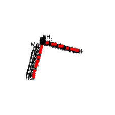 CNc1ccc(N)cc1C#N.Cl.Cl.Cl.Cl.Cl.Cl.Cl.Cl.Cl.Cl.Cl.Cl.Cl.Cl.Cl.Cl.Cl.Cl.Cl.Cl.Cl.Cl.Cl.Cl.Cl.Cl.Cl.Cl.Cl.Cl.Cl.Cl.Cl.Cl.Cl.Cl.Cl.Cl.Cl.Cl.Cl.Cl.Cl.Cl.Cl.Cl.Cl.Cl.Cl.Cl